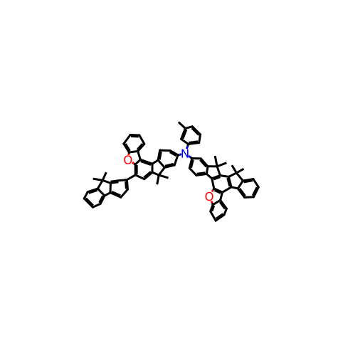 Cc1cccc(N(c2ccc3c(c2)C(C)(C)c2cc(-c4ccc5c(c4)C(C)(C)c4ccccc4-5)c4oc5ccccc5c4c2-3)c2ccc3c(c2)C(C)(C)c2c4c(c5c(oc6ccccc65)c2-3)-c2ccccc2C4(C)C)c1